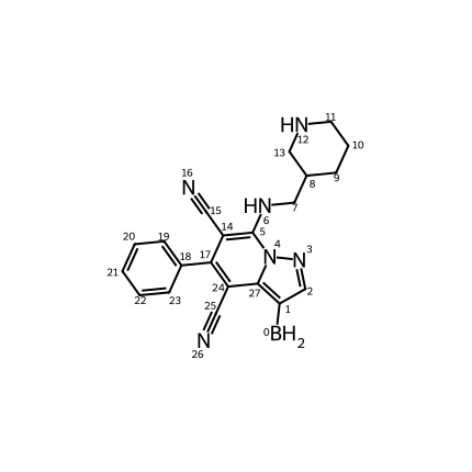 Bc1cnn2c(NCC3CCCNC3)c(C#N)c(-c3ccccc3)c(C#N)c12